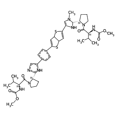 COC(=O)N[C@H](C(=O)N1CCC[C@H]1c1ncc(-c2ccc(C3=CC4SC(C5=CN(C)C([C@@H]6CCCN6C(=O)[C@@H](NC(=O)OC)C(C)C)N5)=CC4S3)cc2)[nH]1)C(C)C